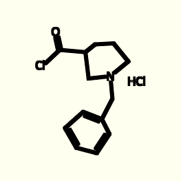 Cl.O=C(Cl)C1CCCN(Cc2ccccc2)C1